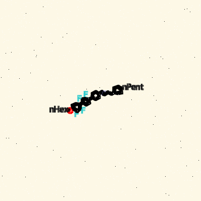 CCCCCCOc1ccc(-c2ccc(C3CCC(/C=C/CCc4ccc(CCCCC)cc4)CC3)c(F)c2F)c(F)c1F